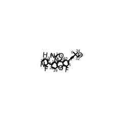 CC1(C#Cc2cc(F)c3c(c2)C2(COCC(N)=N2)c2cc(-c4cccnc4F)ccc2O3)COC1